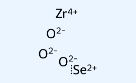 [O-2].[O-2].[O-2].[Se+2].[Zr+4]